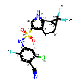 N#Cc1cc(F)c(NS(=O)(=O)c2c[nH]c3c2CCC2C3C2(F)F)cc1Cl